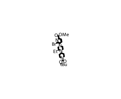 CC[C@H]1CN(c2ccc(C(=O)OC)nc2Br)CCN1C1CCN(C(=O)OC(C)(C)C)CC1